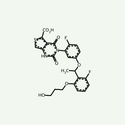 CC(Oc1ccc(F)c(-n2c(=O)[nH]c3csc(C(=O)O)c3c2=O)c1)c1c(F)cccc1OCCCO